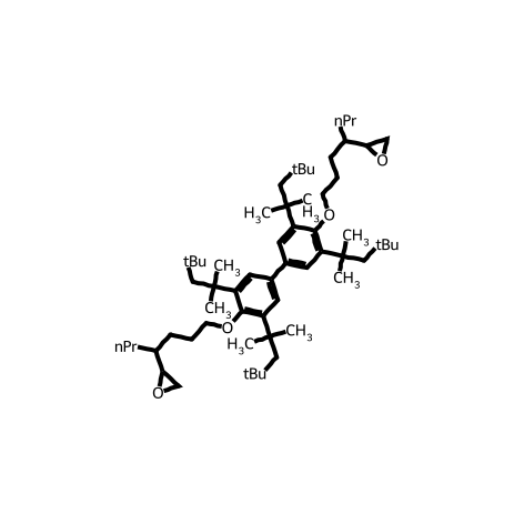 CCCC(CCCOc1c(C(C)(C)CC(C)(C)C)cc(-c2cc(C(C)(C)CC(C)(C)C)c(OCCCC(CCC)C3CO3)c(C(C)(C)CC(C)(C)C)c2)cc1C(C)(C)CC(C)(C)C)C1CO1